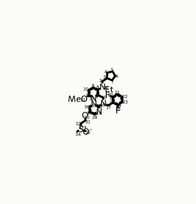 CCN(CC1CCCC1)c1ccc(OC)nc1CN(Cc1c(F)cccc1F)c1ncc(OCC[S+](C)[O-])cn1